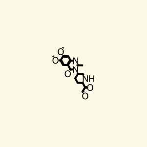 COc1cc2nc(C)n(C3CCC(C(=O)C=O)NC3)c(=O)c2cc1OC